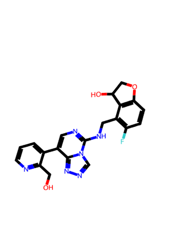 OCc1ncccc1-c1cnc(NCc2c(F)ccc3c2C(O)CO3)n2cnnc12